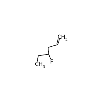 C=CCC(F)CC